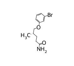 C[C@@H](CCC(N)=O)COc1cccc(Br)c1